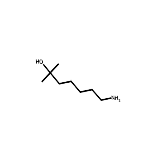 CC(C)(O)C[CH]CCCN